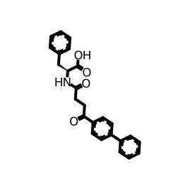 O=C(CCC(=O)c1ccc(-c2ccccc2)cc1)N[C@@H](Cc1ccccc1)C(=O)O